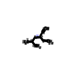 C#C/C(C=C)=C/C(=C)N